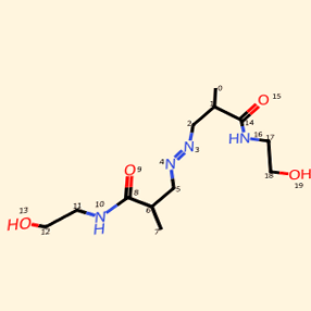 CC(CN=NCC(C)C(=O)NCCO)C(=O)NCCO